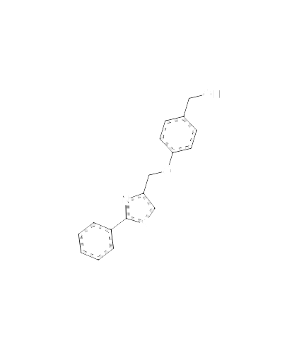 OCc1ccc(OCc2csc(-c3ccccc3)n2)cc1